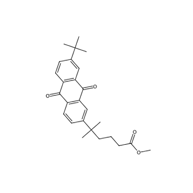 COC(=O)CCCC(C)(C)c1ccc2c(c1)C(=O)c1cc(C(C)(C)C)ccc1C2=O